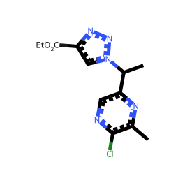 CCOC(=O)c1cn(C(C)c2cnc(Cl)c(C)n2)nn1